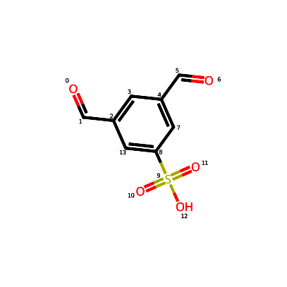 O=Cc1cc(C=O)cc(S(=O)(=O)O)c1